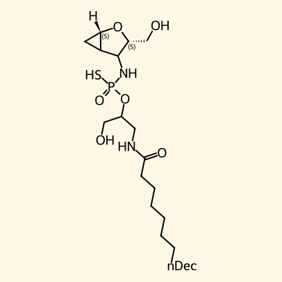 CCCCCCCCCCCCCCCCC(=O)NCC(CO)OP(=O)(S)NC1C2C[C@@H]2O[C@@H]1CO